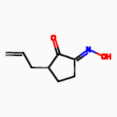 C=CCC1CCC(=NO)C1=O